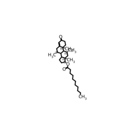 CCCCCCCCCCC(=O)O[C@H]1CCC2C3C([C@@H](C)C[C@@]21C)[C@@]1(C)CCC(=O)C=C1C[C@H]3C